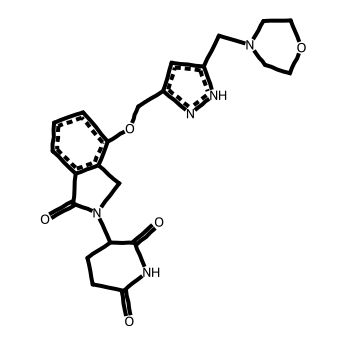 O=C1CCC(N2Cc3c(OCc4cc(CN5CCOCC5)[nH]n4)cccc3C2=O)C(=O)N1